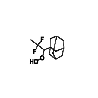 CC(F)(F)C(OO)C12CC3CC(CC(C3)C1)C2